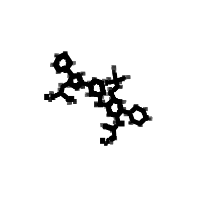 C=CC(=O)Nc1cc(Nc2nccc(-n3cc(CN(C)C)c(-c4ccccc4)n3)n2)c(OCC(F)(F)F)nc1N1CCOCC1